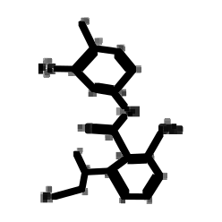 COc1cccc(C(C)CC(C)C)c1C(=O)Nc1ccc(C)c(C(F)(F)F)c1